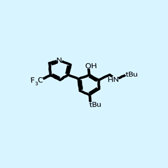 CC(C)(C)NCc1cc(C(C)(C)C)cc(-c2cncc(C(F)(F)F)c2)c1O